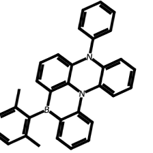 Cc1cccc(C)c1B1c2ccccc2N2c3ccccc3N(c3ccccc3)c3cccc1c32